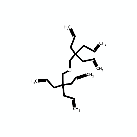 C=CCC(CC=C)(CC=C)COCC(CC=C)(CC=C)CC=C